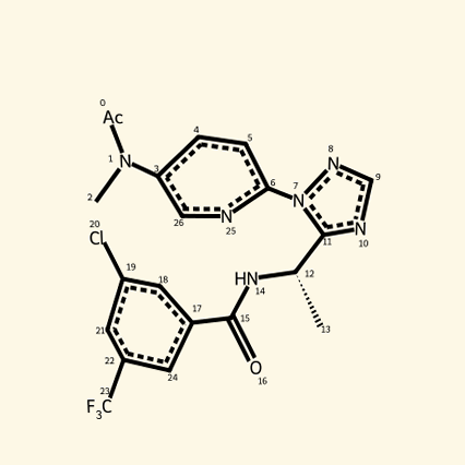 CC(=O)N(C)c1ccc(-n2ncnc2[C@H](C)NC(=O)c2cc(Cl)cc(C(F)(F)F)c2)nc1